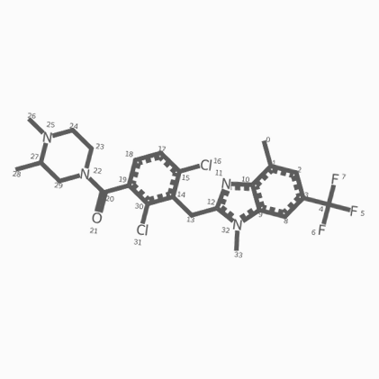 Cc1cc(C(F)(F)F)cc2c1nc(Cc1c(Cl)ccc(C(=O)N3CCN(C)C(C)C3)c1Cl)n2C